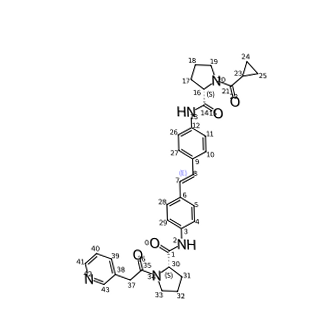 O=C(Nc1ccc(/C=C/c2ccc(NC(=O)[C@@H]3CCCN3C(=O)C3CC3)cc2)cc1)[C@@H]1CCCN1C(=O)Cc1cccnc1